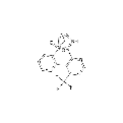 CCS(=O)(=O)c1ccccc1-c1c(C(F)(F)F)ccnc1-c1ncc[nH]1